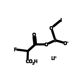 O=C(O)C(F)C(=O)OB([O-])OI.[Li+]